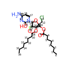 CCCCCCCC(=O)OC1[C@@]2(CCl)O[C@@H](N3C=CC(N)=NC3O)[C@H](F)[C@@]12OC(=O)CCCCCCC